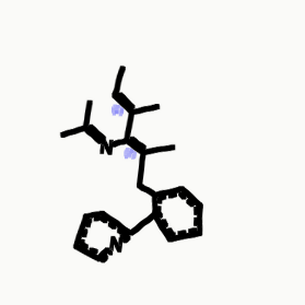 C/C=C(C)/C(N=C(C)C)=C(\C)Cc1ccccc1-c1ccccn1